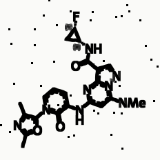 CNc1cc(Nc2cccn(-c3oc(C)nc3C)c2=O)nc2c(C(=O)N[C@@H]3C[C@@H]3F)cnn12